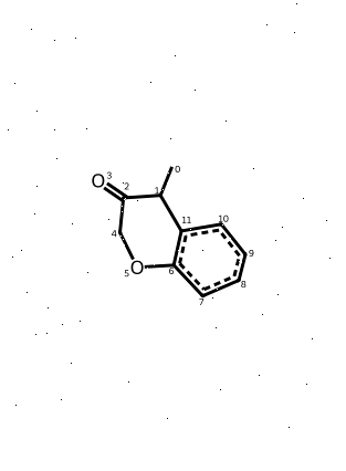 CC1C(=O)COc2ccccc21